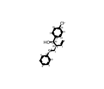 C=C[C@@H](CSc1ccccc1)[C@@H](O)c1ccc(Cl)cc1